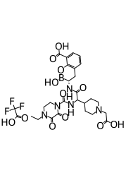 CCN1CCN(C(=O)NC(C(=O)N[C@H]2Cc3cccc(C(=O)O)c3OB2O)C2CCN(CC(=O)O)CC2)C(=O)C1=O.O=C(O)C(F)(F)F